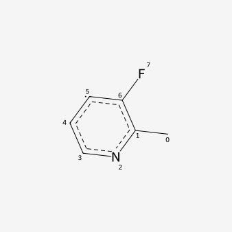 Cc1ncc[c]c1F